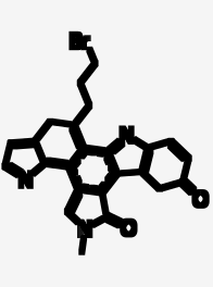 CN1C=c2c(c3c(c4c2=C2N=CC=C2CC=4CCCBr)=NC2=C3CC(=O)C=C2)C1=O